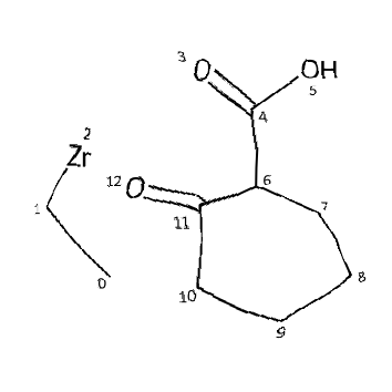 C[CH2][Zr].O=C(O)C1CCCCC1=O